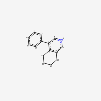 c1ccc(-c2cncc3c2CCCC3)cc1